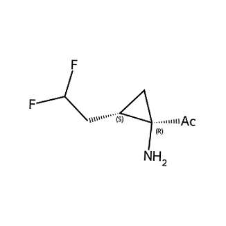 CC(=O)[C@@]1(N)C[C@H]1CC(F)F